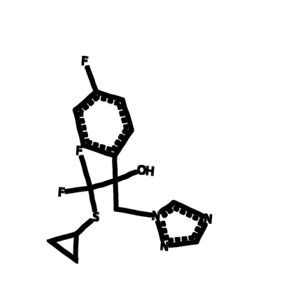 OC(Cn1cncn1)(c1ccc(F)cc1)C(F)(F)SC1CC1